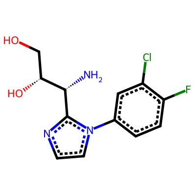 N[C@H](c1nccn1-c1ccc(F)c(Cl)c1)[C@H](O)CO